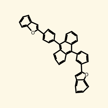 c1cc(-c2cc3ccccc3o2)cc(-c2c3ccccc3c(-c3ccc(-c4cc5ccccc5o4)cc3)c3ccccc23)c1